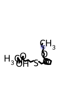 C/C=C/COCC1C2CCC(O2)C1CCSCCCCC(=O)N(C)O